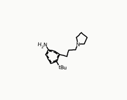 CC(C)(C)c1ccc(N)cc1CCCN1CCCC1